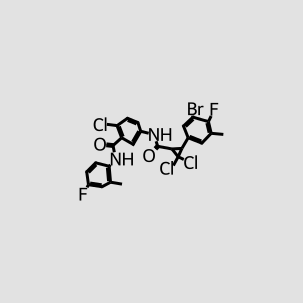 Cc1cc(F)ccc1NC(=O)c1cc(NC(=O)C2C(c3cc(C)c(F)c(Br)c3)C2(Cl)Cl)ccc1Cl